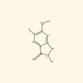 COc1cc2c(cc1C)C(=O)C(C)C2